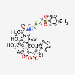 CCC(CC1C(=O)OC(=O)C1CC(C(C)=O)C(CC(C(=O)O)C(CC(C(=O)O)C(C)C(=O)NCCSCCS(=O)(=O)c1ccc(C)cc1)C(C)=O)C(=O)O)c1ccccc1